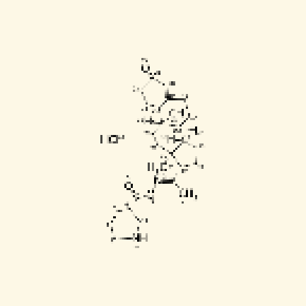 CC(=NOC(=O)[C@H]1CCCNC1)[C@H]1CC[C@H]2[C@@H]3CCC4=CC(=O)CC[C@]4(C)[C@H]3CC[C@]12C.Cl